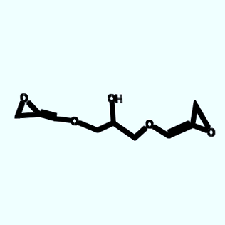 OC(COC=C1CO1)COC=C1CO1